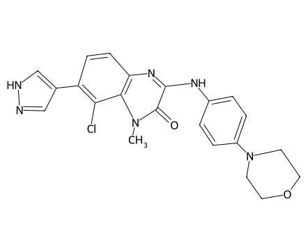 Cn1c(=O)c(Nc2ccc(N3CCOCC3)cc2)nc2ccc(-c3cn[nH]c3)c(Cl)c21